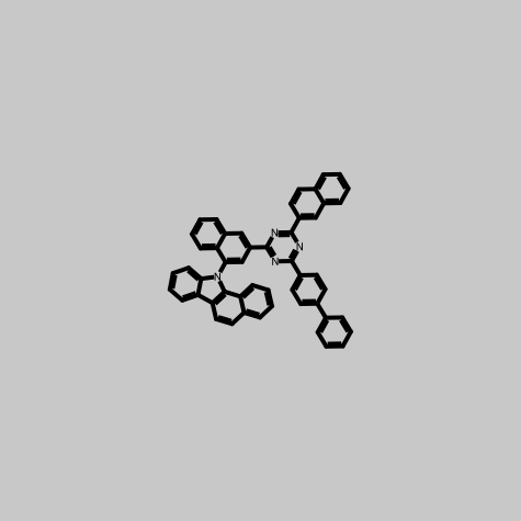 c1ccc(-c2ccc(-c3nc(-c4ccc5ccccc5c4)nc(-c4cc(-n5c6ccccc6c6ccc7ccccc7c65)c5ccccc5c4)n3)cc2)cc1